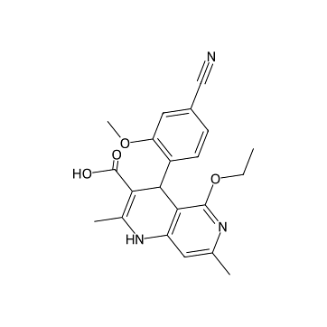 CCOc1nc(C)cc2c1C(c1ccc(C#N)cc1OC)C(C(=O)O)=C(C)N2